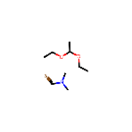 CCOC(C)OCC.CN(C)C=S